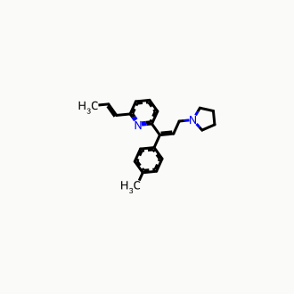 C/C=C/c1cccc(/C(=C\CN2CCCC2)c2ccc(C)cc2)n1